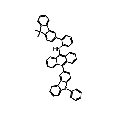 CC1(C)c2ccccc2-c2cc(-c3ccccc3Nc3c4ccccc4c(-c4ccc5c(c4)c4ccccc4n5-c4ccccc4)c4ccccc34)ccc21